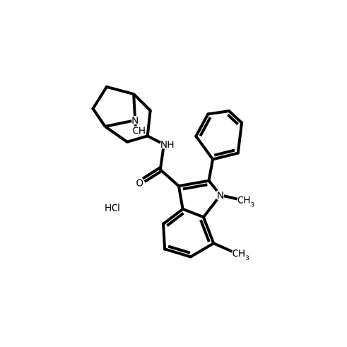 Cc1cccc2c(C(=O)NC3CC4CCC(C3)N4C)c(-c3ccccc3)n(C)c12.Cl